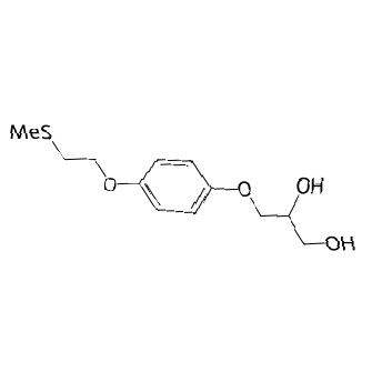 CSCCOc1ccc(OCC(O)CO)cc1